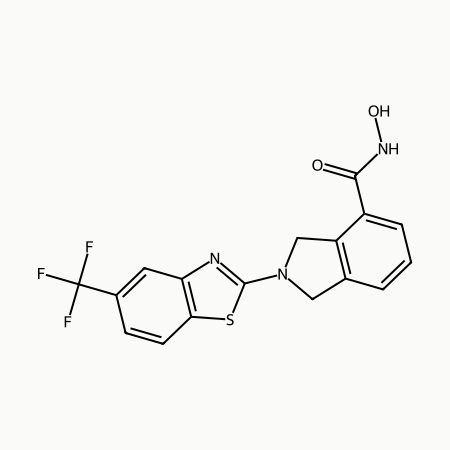 O=C(NO)c1cccc2c1CN(c1nc3cc(C(F)(F)F)ccc3s1)C2